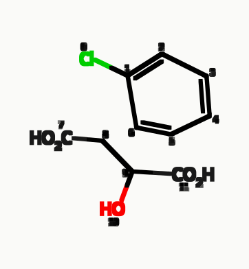 Clc1ccccc1.O=C(O)CC(O)C(=O)O